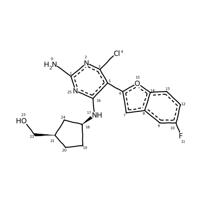 Nc1nc(Cl)c(-c2cc3cc(F)ccc3o2)c(N[C@H]2CC[C@@H](CO)C2)n1